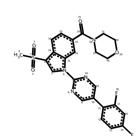 CS(=O)(=O)c1cn(-c2ncc(-c3ccc(F)cc3F)cn2)c2cc(C(=O)N3CCOCC3)ccc12